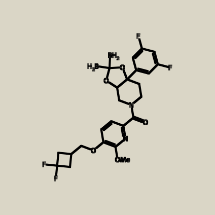 BC1(B)OC2CN(C(=O)c3ccc(OCC4CC(F)(F)C4)c(OC)n3)CCC2(c2cc(F)cc(F)c2)O1